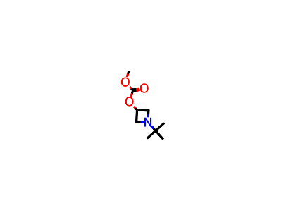 COC(=O)OC1CN(C(C)(C)C)C1